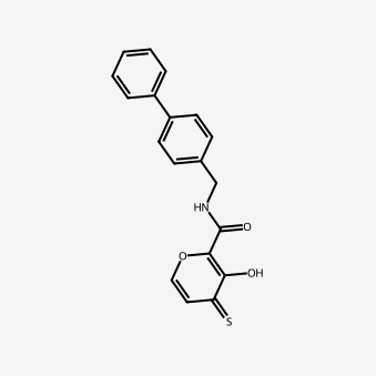 O=C(NCc1ccc(-c2ccccc2)cc1)c1occc(=S)c1O